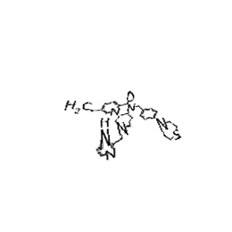 C=Cc1ccc(C(=O)N(Cc2ccc(N3CCSCC3)cc2)C2CCN(Cc3ncc[nH]3)CC2)nc1